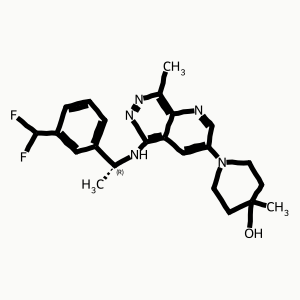 Cc1nnc(N[C@H](C)c2cccc(C(F)F)c2)c2cc(N3CCC(C)(O)CC3)cnc12